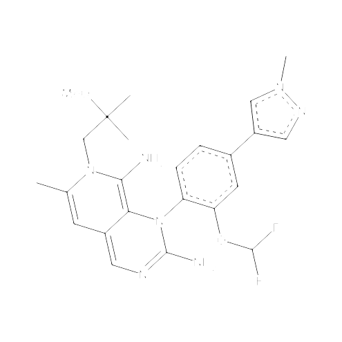 COC(C)(C)CN1C(C)=CC2=CN=C(N)N(c3ccc(-c4cnn(C)c4)cc3OC(F)F)C2=C1N